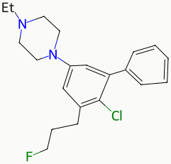 CCN1CCN(c2cc(CCCF)c(Cl)c(-c3ccccc3)c2)CC1